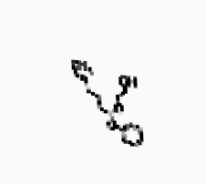 CC=CCCCC(OCCO)Oc1ccccc1